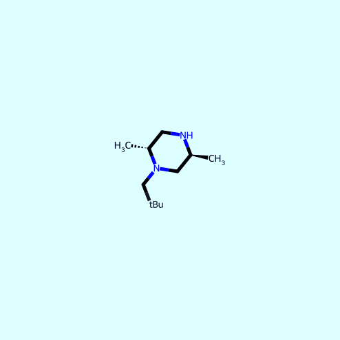 C[C@@H]1CN[C@@H](C)CN1CC(C)(C)C